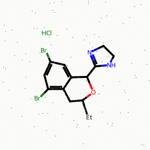 CCC1Cc2c(Br)cc(Br)cc2C(C2=NCCN2)O1.Cl